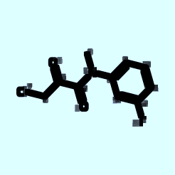 CN(C(=O)C(=O)CCl)c1cccc(F)c1